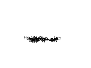 O=C(Cc1ncc(OCCCC2CCN(c3ncc(Cl)cn3)CC2)cc1F)N1CCN(C[C@H](O)[C@@H](O)[C@H](O)[C@H](O)CO)CC1